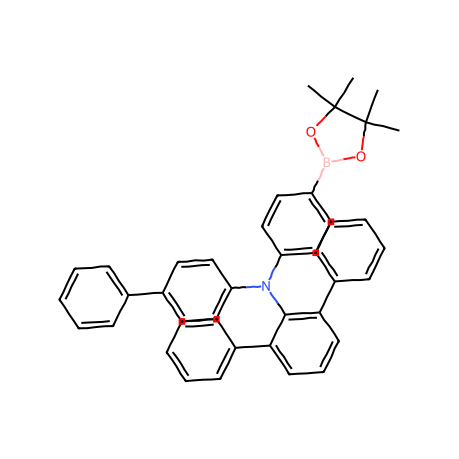 CC1(C)OB(c2ccc(N(c3ccc(-c4ccccc4)cc3)c3c(-c4ccccc4)cccc3-c3ccccc3)cc2)OC1(C)C